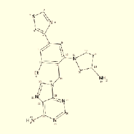 CCc1cc(-c2cscn2)cc(N2CCC(N)C2)c1Cn1cnc2c(N)ncnc21